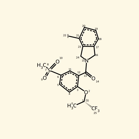 C[C@H](Oc1ccc(S(C)(=O)=O)cc1C(=O)N1Cc2cccc(I)c2C1)C(F)(F)F